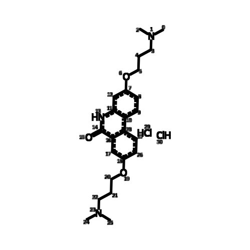 CN(C)CCCOc1ccc2c(c1)[nH]c(=O)c1cc(OCCCN(C)C)ccc12.Cl.Cl